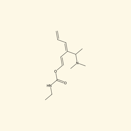 C=C/C=C(\C=C\OC(=O)NCC)C(C)N(C)C